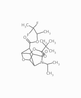 CC(C)N1C(=O)C2C3OC(C(OC(=O)C(C)(C)C)C31)C2C(=O)OC(C)C(C)(F)F